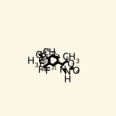 C[C@@H]1OC(=O)NN=C1c1ccc(P(C)(C)=O)c(C(F)(F)F)c1